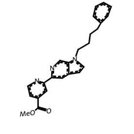 COC(=O)c1ccnc(-c2cc3ccn(CCCCc4ccccc4)c3cn2)c1